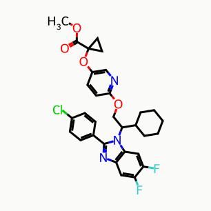 COC(=O)C1(Oc2ccc(OCC(C3CCCCC3)n3c(-c4ccc(Cl)cc4)nc4cc(F)c(F)cc43)nc2)CC1